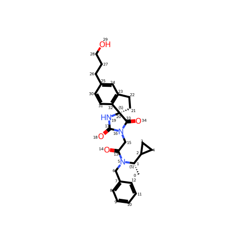 C[C@@H](C1CC1)N(Cc1ccccc1)C(=O)CN1C(=O)N[C@]2(CCc3cc(CCCO)ccc32)C1=O